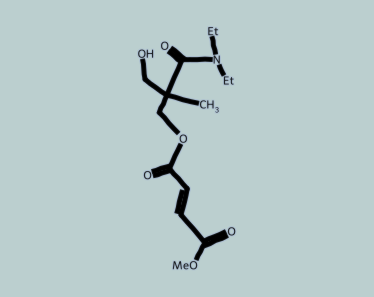 CCN(CC)C(=O)C(C)(CO)COC(=O)/C=C/C(=O)OC